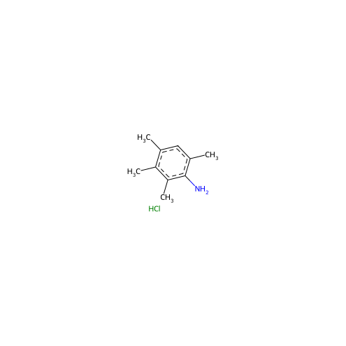 Cc1cc(C)c(N)c(C)c1C.Cl